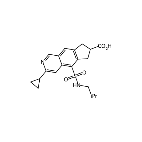 CC(C)CNS(=O)(=O)c1c2c(cc3cnc(C4CC4)cc13)CC(C(=O)O)C2